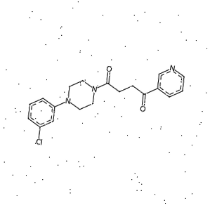 O=C(CCC(=O)N1CCN(c2cccc(Cl)c2)CC1)c1cccnc1